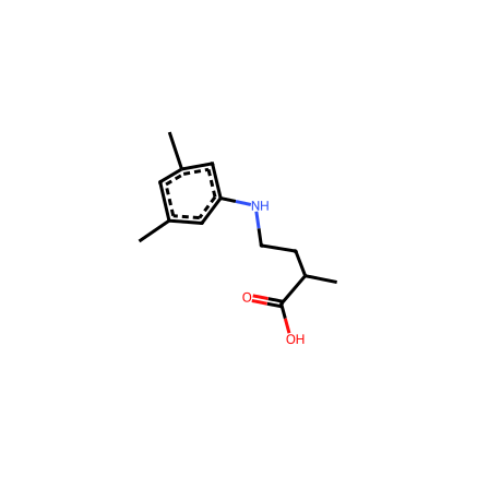 Cc1cc(C)cc(NCCC(C)C(=O)O)c1